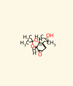 CC1(C)O[C@@H]2[C@H](O1)C([Si](C)(C)O)=CC1O[C@H]12